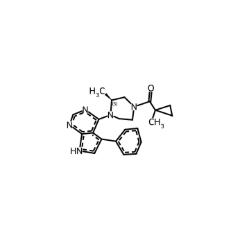 C[C@H]1CN(C(=O)C2(C)CC2)CCN1c1ncnc2[nH]cc(-c3ccccc3)c12